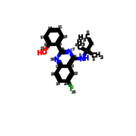 CCC(C)(C)Nc1nc(-c2ccccc2O)nc2ccc(F)cc12